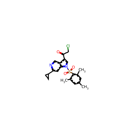 Cc1cc(C)c(S(=O)(=O)n2cc(C(=O)CCl)c3cnc(C4CC4)cc32)c(C)c1